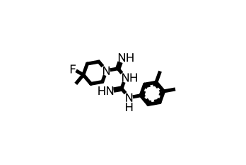 Cc1ccc(NC(=N)NC(=N)N2CCC(C)(F)CC2)cc1C